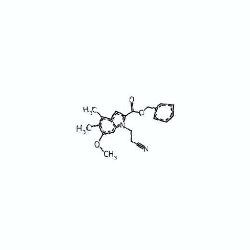 COc1cc2c(cc(C(=O)OCc3ccccc3)n2CCC#N)c(C)c1C